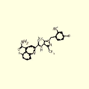 Cc1c(NC(=O)c2cc(C(N)=O)c3c(F)cccc3n2)c(C(F)(F)F)nn1Cc1ccc(F)cc1C#N